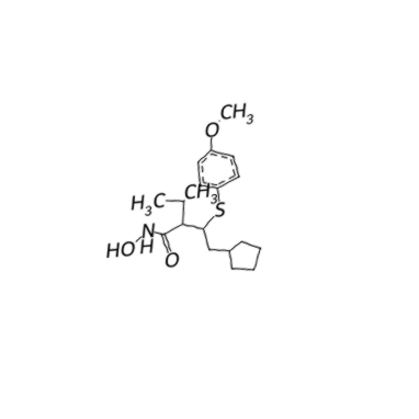 COc1ccc(SC(CC2CCCC2)C(C(=O)NO)C(C)C)cc1